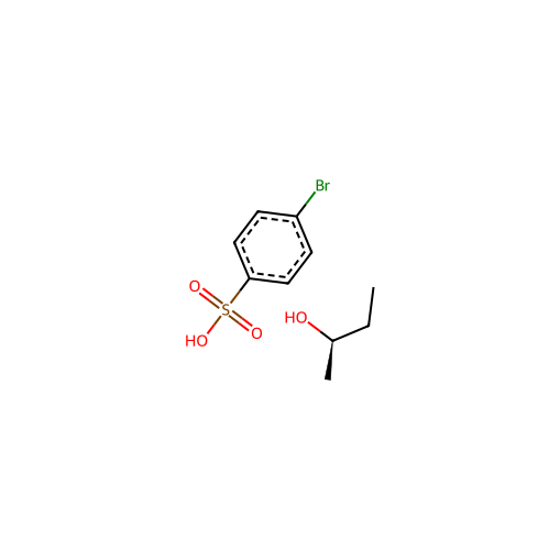 CC[C@@H](C)O.O=S(=O)(O)c1ccc(Br)cc1